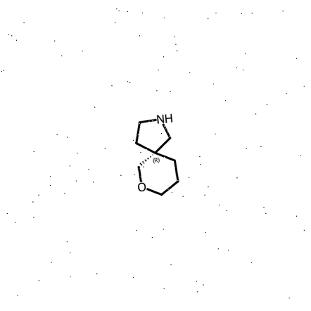 C1COC[C@]2(C1)CCNC2